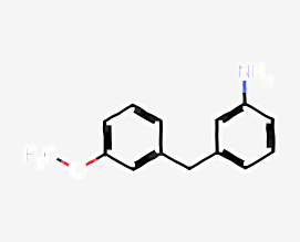 Nc1cccc(Cc2cccc(OC(F)(F)F)c2)c1